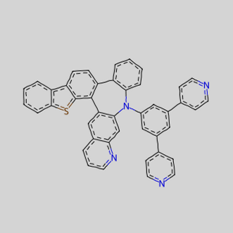 c1ccc2c(c1)-c1ccc3c(sc4ccccc43)c1-c1cc3cccnc3cc1N2c1cc(-c2ccncc2)cc(-c2ccncc2)c1